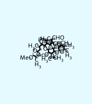 COC[C@@H](C)OC(=O)C[C@@H](C)[C@H](OC)[C@@H](O[C@@H]1O[C@H](C)C(O[C@H]2CC(C)(C)C(C)[C@@H](C)O2)C(N(C)C)C1OC(C)=O)[C@@H](CC(C)C)C[C@@H](C)C(C)C=O